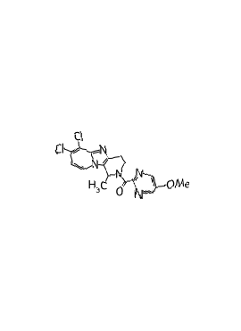 COc1cnc(C(=O)N2CCc3nc4c(Cl)c(Cl)ccn4c3C2C)nc1